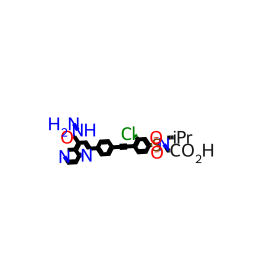 CC(C)CN(CC(=O)O)S(=O)(=O)c1ccc(C#Cc2ccc(-c3cc(C(=O)NN)c4cnccc4n3)cc2)c(Cl)c1